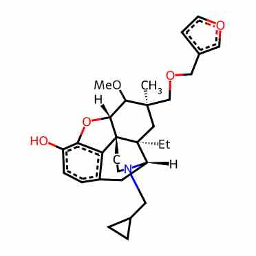 CC[C@@]12C[C@](C)(COCc3ccoc3)C(OC)[C@H]3Oc4c(O)ccc5c4[C@]31CCN(CC1CC1)[C@H]2C5